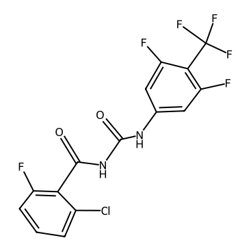 O=C(NC(=O)c1c(F)cccc1Cl)Nc1cc(F)c(C(F)(F)F)c(F)c1